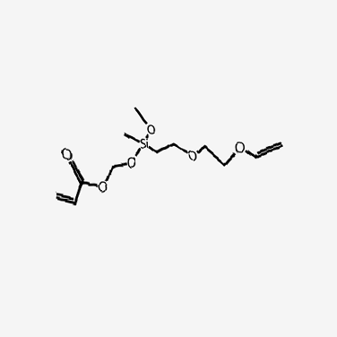 C=COCCOCC[Si](C)(OC)OCOC(=O)C=C